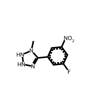 CN1NNN=C1c1cc(F)cc([N+](=O)[O-])c1